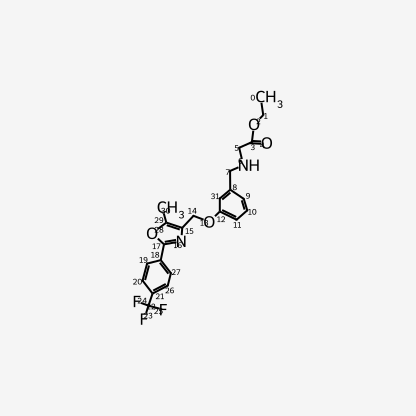 CCOC(=O)CNCc1cccc(OCc2nc(-c3ccc(C(F)(F)F)cc3)oc2C)c1